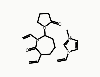 C=CC1CCCC(N2CCCC2=O)N(C=C)C1=O.C=Cn1cc[n+](C)c1